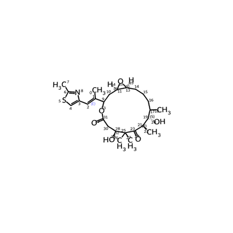 C/C(=C\c1csc(C)n1)C1C[C@H]2O[C@H]2CCCC(C)[C@H](O)[C@@H](C)C(=O)C(C)(C)[C@@H](O)CC(=O)O1